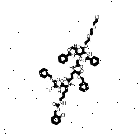 CC(NC(=O)C(CCCCNC(=O)OCc1ccccc1Cl)NC(=O)CCC(NC(=O)CO[C@@H]1C(NC(=O)c2ccccc2)[C@H](OCCOCCOCCCl)O[C@@H]2COC(c3ccccc3)OC12)C(=O)OCc1ccccc1)C(=O)OCc1ccccc1